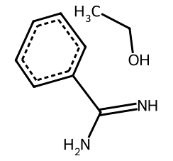 CCO.N=C(N)c1ccccc1